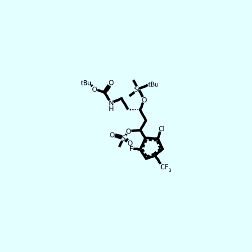 CC(C)(C)OC(=O)NCC[C@@H](CC(OS(C)(=O)=O)c1c(F)cc(C(F)(F)F)cc1Cl)O[Si](C)(C)C(C)(C)C